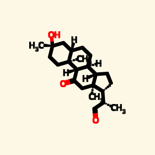 C[C@H](C=O)[C@H]1CC[C@H]2[C@@H]3CC[C@H]4C[C@@](C)(O)CC[C@]4(C)[C@H]3C(=O)C[C@]12C